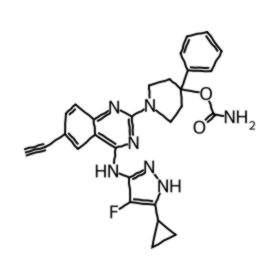 C#Cc1ccc2nc(N3CCC(OC(N)=O)(c4ccccc4)CC3)nc(Nc3n[nH]c(C4CC4)c3F)c2c1